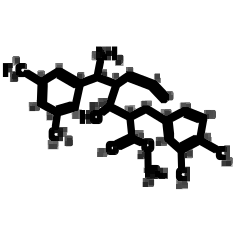 C=C=CC(C(N)c1cc(C(F)(F)F)cc(C(F)(F)F)c1)C(O)C(Cc1ccc(Cl)c(Cl)c1)C(=O)OC(C)(C)C